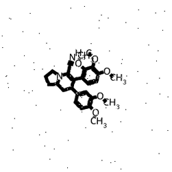 COc1ccc(C2CC3CCCN3C(C#N)=C2c2ccc(OC)c(OC)c2OC)cc1OC